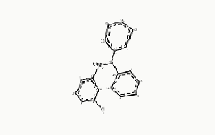 Clc1cccc(NC(c2ccccc2)c2ccccc2)c1